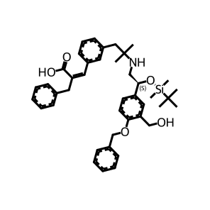 CC(C)(Cc1cccc(C=C(Cc2ccccc2)C(=O)O)c1)NC[C@@H](O[Si](C)(C)C(C)(C)C)c1ccc(OCc2ccccc2)c(CO)c1